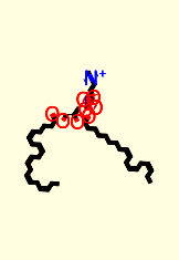 CC/C=C\C/C=C\C/C=C\C/C=C\C/C=C\CCCC(=O)OC[C@H](COP(=O)([O-])OCC[N+](C)(C)C)OC(=O)CCCCCCC/C=C\C/C=C\C/C=C\CC